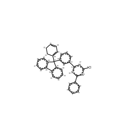 Clc1nc(-c2ccccc2)nc(-c2cccc(C3(C4=CC=CCC4)c4ccccc4-c4ccccc43)c2)n1